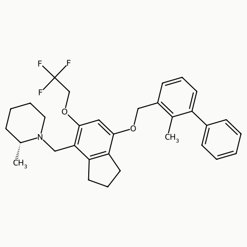 Cc1c(COc2cc(OCC(F)(F)F)c(CN3CCCC[C@H]3C)c3c2CCC3)cccc1-c1ccccc1